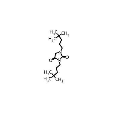 CC(C)(C)CCCN1CC(=O)N(CCCC(C)(C)C)C1=O